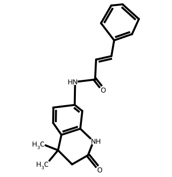 CC1(C)CC(=O)Nc2cc(NC(=O)C=Cc3ccccc3)ccc21